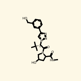 CNC(=O)C1CC(O)CN1C(=O)[C@@H](n1cc(-c2cccc(CO)c2)nn1)C(C)(C)C